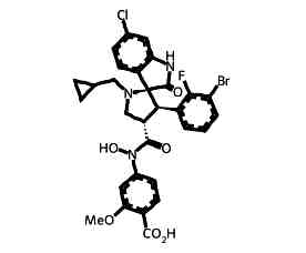 COc1cc(N(O)C(=O)[C@@H]2CN(CC3CC3)[C@@]3(C(=O)Nc4cc(Cl)ccc43)[C@H]2c2cccc(Br)c2F)ccc1C(=O)O